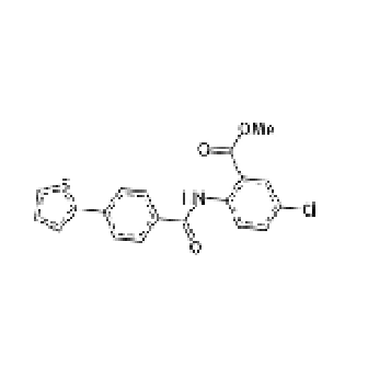 COC(=O)c1cc(Cl)ccc1NC(=O)c1ccc(-c2cccs2)cc1